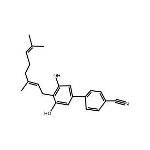 CC(C)=CCC/C(C)=C/Cc1c(O)cc(-c2ccc(C#N)cc2)cc1O